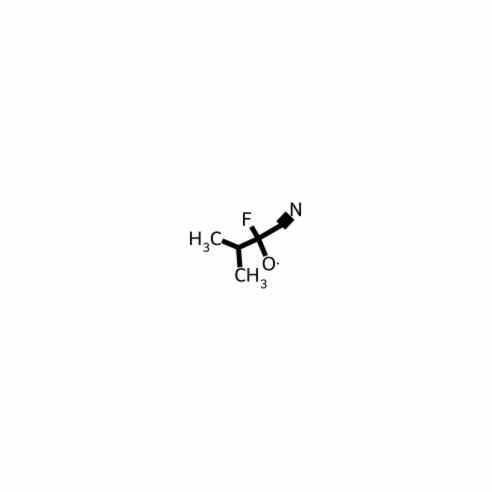 CC(C)C([O])(F)C#N